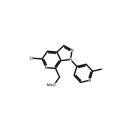 COCc1nc(Cl)cc2cnn(-c3ccnc(C)c3)c12